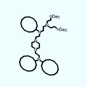 CCCCCCCCCCCCN(CCCCCCCCCCCC)CCN(CCN1CCN(CCN(C2CCCCCCCCCCC2)C2CCCCCCCCCCC2)CC1)C1CCCCCCCCCCC1